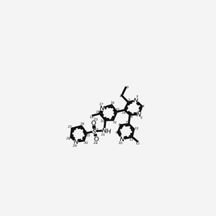 CCc1ncnc(-c2ccnc(C)c2)c1-c1cnc(C)c(NS(=O)(=O)c2cccnc2)c1